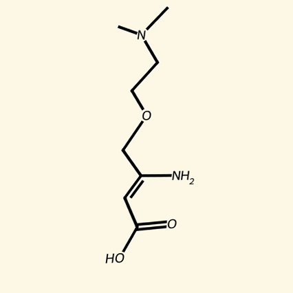 CN(C)CCOCC(N)=CC(=O)O